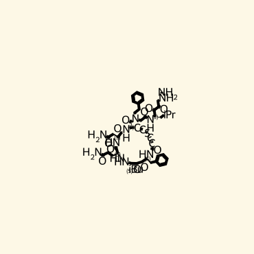 CC[C@H](C)C1NN[C@@H](CCC(N)=O)C(=O)N[C@@H](CC(N)=O)C(=O)N[C@H](C(=O)N(CCc2ccccc2)CC(=O)N[C@@H](CC(C)C)C(=O)C(=O)CNN)CCSCCC(=O)N[C@@H](Cc2ccccc2)C(=O)C1=O